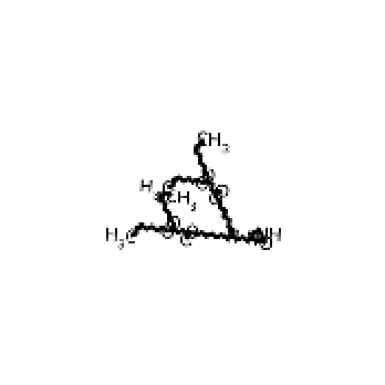 CC/C=C\CCCCOC(CCC(=O)OCCCCCCCN(CCCCCCCOC(=O)CCC(OCCCC/C=C\CC)OCCCC/C=C\CC)CCCN1CCNC(=O)C1)OCCCC/C=C\CC